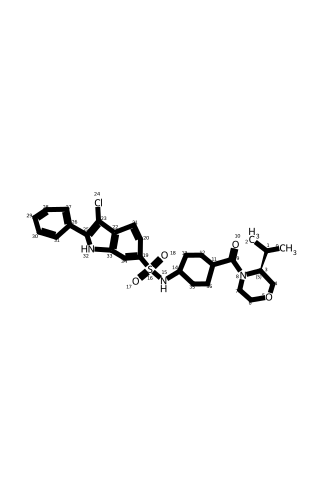 CC(C)[C@H]1COCCN1C(=O)C1CCC(NS(=O)(=O)c2ccc3c(Cl)c(-c4ccccc4)[nH]c3c2)CC1